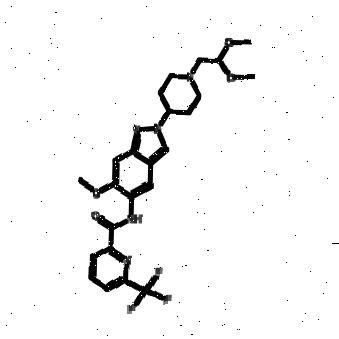 COc1cc2nn(C3CCN(CC(OC)OC)CC3)cc2cc1NC(=O)c1cccc(C(F)(F)F)n1